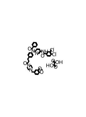 O=C(Nc1ccc(N(C(=O)c2ccccc2)c2ccc(CCC(=O)N3CCN(Cc4ccc5c(c4)OCO5)CC3)cc2)nc1)c1ccc(Cl)c(Cl)c1.O=C(O)C(=O)O